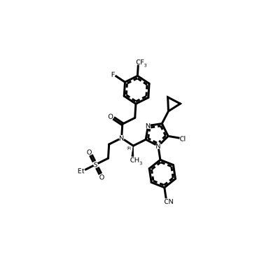 CCS(=O)(=O)CCN(C(=O)Cc1ccc(C(F)(F)F)c(F)c1)[C@H](C)c1nc(C2CC2)c(Cl)n1-c1ccc(C#N)cc1